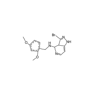 COc1ccc(CNC2N=CC=C3NN=C(Br)C32)c(OC)c1